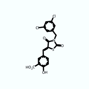 O=C(O)c1cc(/C=C2\SC(=O)N(Cc3cc(Cl)cc(Cl)c3)C2=O)ccc1O